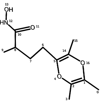 CC1=C(C)OC(CCC(C)C(=O)NO)=C(C)O1